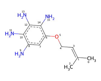 CC(C)=CCOc1cc(N)c(N)c(N)c1N